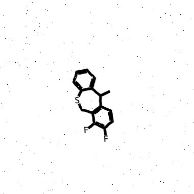 CC1c2ccccc2SCc2c1ccc(F)c2F